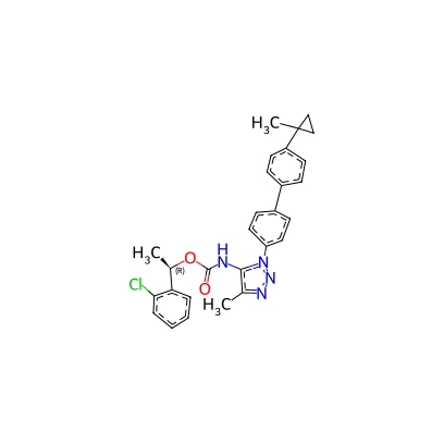 Cc1nnn(-c2ccc(-c3ccc(C4(C)CC4)cc3)cc2)c1NC(=O)O[C@H](C)c1ccccc1Cl